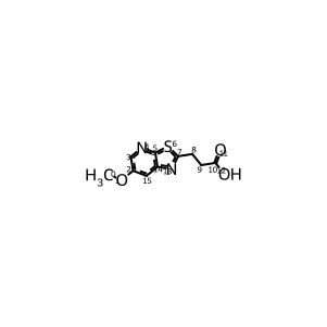 COc1cnc2sc(CCC(=O)O)nc2c1